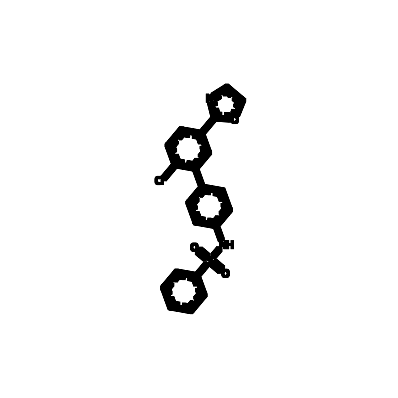 O=S(=O)(Nc1ccc(-c2cc(-c3ncco3)ccc2Cl)cc1)c1ccccc1